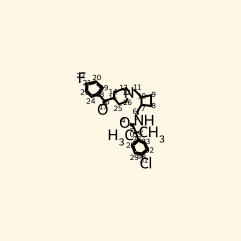 CC(C)(C(=O)NCC1CCC1CN1CCC(C(=O)c2ccc(F)cc2)CC1)c1ccc(Cl)cc1